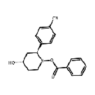 N#Cc1ccc([C@@H]2C[C@@H](O)CCN2OC(=O)c2ccccc2)cc1